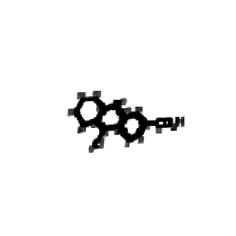 O=C(O)c1ccc2c(Cl)c3c(nc2c1)CCCC3